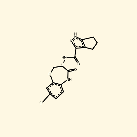 O=C(N[C@H]1COc2cc(Cl)ccc2NC1=O)c1n[nH]c2c1CCC2